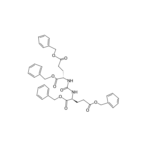 O=C(N[C@@H](CCC(=O)OCc1ccccc1)C(=O)OCc1ccccc1)N[C@@H](CCC(=O)OCc1ccccc1)C(=O)OCc1ccccc1